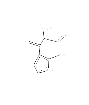 CCOC(=O)C(N=N)C(=O)c1cc[nH]c1C